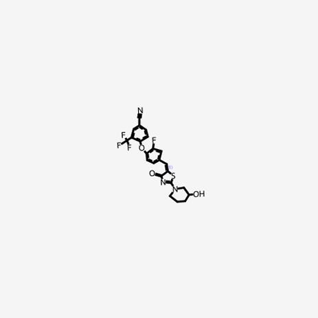 N#Cc1ccc(Oc2ccc(/C=C3/SC(N4CCCC(O)C4)=NC3=O)cc2F)c(C(F)(F)F)c1